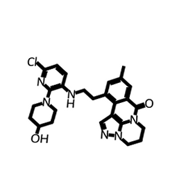 Cc1cc(CCNc2ccc(Cl)nc2N2CCC(O)CC2)c2c(c1)c(=O)n1c3c2cnn3CCC1